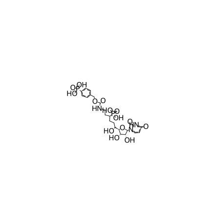 O=C(NCCC(CCC(O)[C@H]1O[C@@H](n2ccc(=O)[nH]c2=O)[C@H](O)[C@@H]1O)P(=O)(O)O)OCc1ccc(P(=O)(O)O)cc1